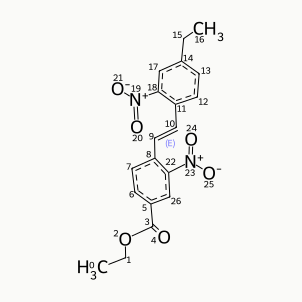 CCOC(=O)c1ccc(/C=C/c2ccc(CC)cc2[N+](=O)[O-])c([N+](=O)[O-])c1